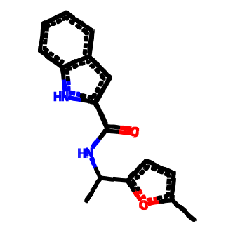 Cc1ccc(C(C)NC(=O)c2cc3ccccc3[nH]2)o1